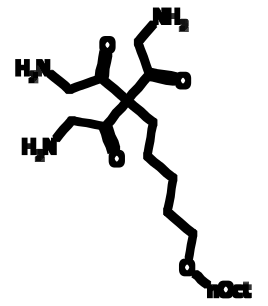 CCCCCCCCOCCCCCC(C(=O)CN)(C(=O)CN)C(=O)CN